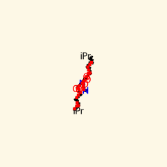 CC(C)CCCC(C)CCCC(C)CCCC(C)CCOC(=O)CCCN(CCCC(=O)OCCC(C)CCCC(C)CCCC(C)CCCC(C)C)C(=O)CCCN(C)C